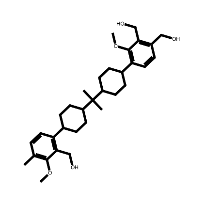 COc1c(C)ccc(C2CCC(C(C)(C)C3CCC(c4ccc(CO)c(CO)c4OC)CC3)CC2)c1CO